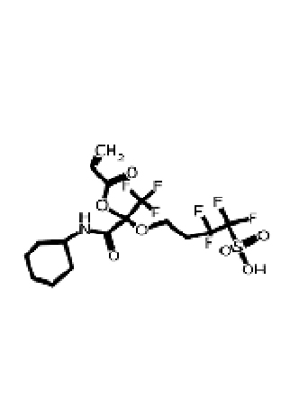 C=CC(=O)OC(OCCC(F)(F)C(F)(F)S(=O)(=O)O)(C(=O)NC1CCCCC1)C(F)(F)F